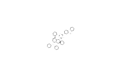 CC1(C)c2ccccc2-c2ccc(-c3nc(-c4ccccc4)nc(-c4cccc5oc6cc(N(c7ccccc7)c7ccccc7)c7ccccc7c6c45)n3)cc21